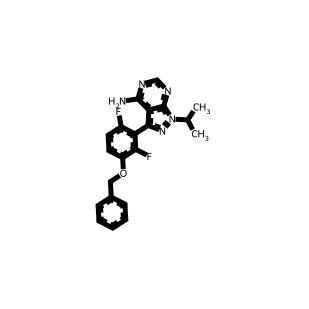 CC(C)n1nc(-c2c(F)ccc(OCc3ccccc3)c2F)c2c(N)ncnc21